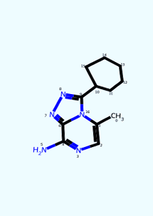 Cc1cnc(N)c2nnc(C3CCCCC3)n12